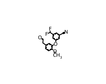 COc1ccc(CC=O)cc1Oc1cc(C#N)cc(C(F)F)c1